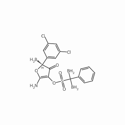 BC(B)(c1ccccc1)S(=O)(=O)OC1=C(N)O[C@](B)(c2cc(Cl)cc(Cl)c2)C1=O